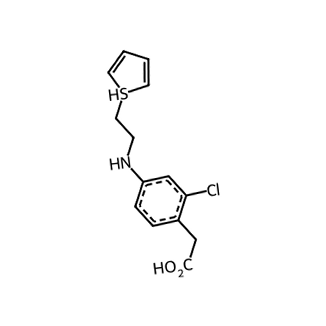 O=C(O)Cc1ccc(NCC[SH]2C=CC=C2)cc1Cl